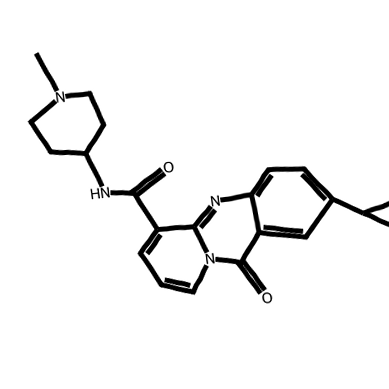 CN1CCC(NC(=O)c2cccn3c(=O)c4cc(C5CC5)ccc4nc23)CC1